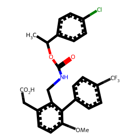 COc1ccc(CC(=O)O)c(CNC(=O)OC(C)c2ccc(Cl)cc2)c1-c1ccc(C(F)(F)F)cc1